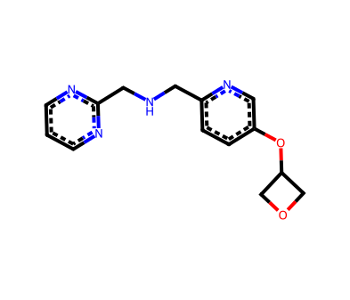 c1cnc(CNCc2ccc(OC3COC3)cn2)nc1